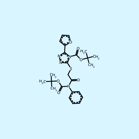 CC(C)(C)OC(=O)N(C(=O)CSc1nnc(-c2ccco2)n1C(=O)OC(C)(C)C)c1ccccc1